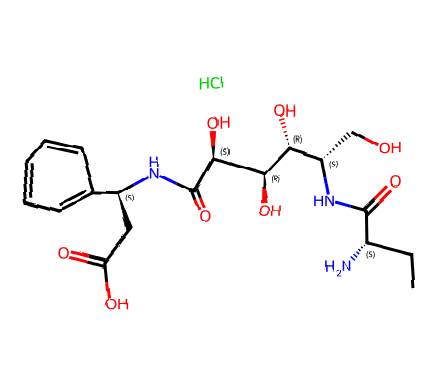 CC[C@H](N)C(=O)N[C@@H](CO)[C@@H](O)[C@@H](O)[C@H](O)C(=O)N[C@@H](CC(=O)O)c1ccccc1.Cl